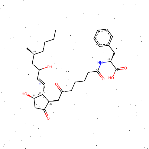 CCCC[C@H](C)CC(O)/C=C/[C@H]1[C@H](O)CC(=O)[C@@H]1CC(=O)CCCCC(=O)N[C@@H](Cc1ccccc1)C(=O)O